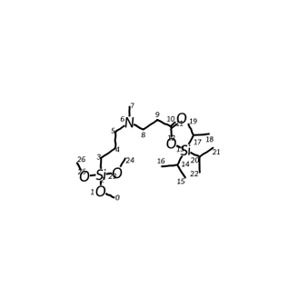 CO[Si](CCCN(C)CCC(=O)O[Si](C(C)C)(C(C)C)C(C)C)(OC)OC